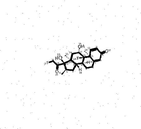 C[C@@H]1C[C@H]2[C@@H]3CCC4=CC(=O)C=C[C@]4(C)[C@@]3(F)[C@@H](O)C[C@]2(C)[C@@]1(O)C(=O)CF